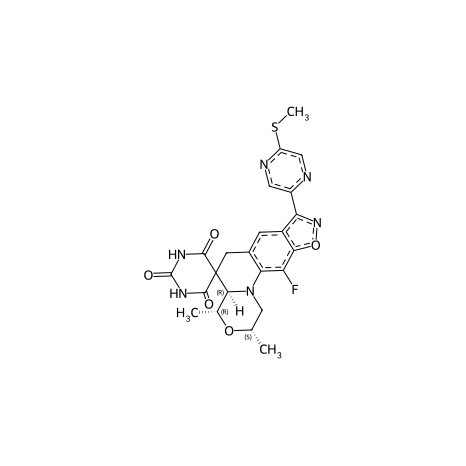 CSc1cnc(-c2noc3c(F)c4c(cc23)CC2(C(=O)NC(=O)NC2=O)[C@@H]2[C@@H](C)O[C@@H](C)CN42)cn1